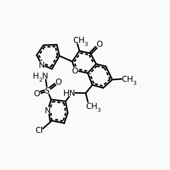 Cc1cc(C(C)Nc2ccc(Cl)nc2S(N)(=O)=O)c2oc(-c3cccnc3)c(C)c(=O)c2c1